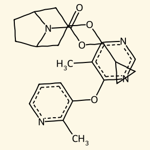 Cc1ncccc1Oc1ncnc(OC2CC3CCC(C2)N3C(=O)OCC2CC2)c1C